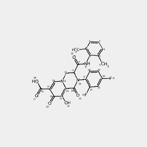 Cc1cccc(C)c1NC(=O)C1Cn2cc(C(=O)O)c(=O)c(O)c2C(=O)N1c1ccc(F)cc1F